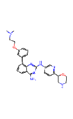 CN(C)CCOc1cccc(-c2cccc3c(N)nc(Nc4ccc(C5CNCCO5)nc4)nc23)c1